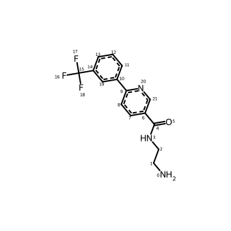 NCCNC(=O)c1ccc(-c2cccc(C(F)(F)F)c2)nc1